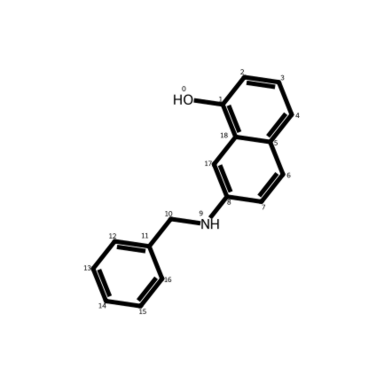 Oc1cccc2ccc(NCc3ccccc3)cc12